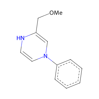 COCC1=CN(c2ccccc2)C=CN1